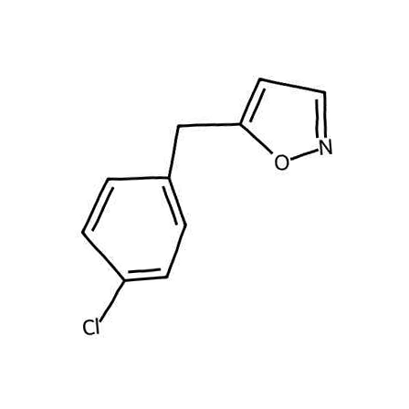 Clc1ccc(Cc2ccno2)cc1